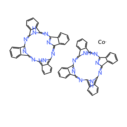 [Co].c1ccc2c(c1)-c1nc-2nc2[nH]c(nc3nc(nc4[nH]c(n1)c1ccccc41)-c1ccccc1-3)c1ccccc21.c1ccc2c(c1)-c1nc-2nc2[nH]c(nc3nc(nc4[nH]c(n1)c1ccccc41)-c1ccccc1-3)c1ccccc21